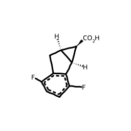 O=C(O)[C@@H]1[C@@H]2Cc3c(F)ccc(F)c3[C@@H]21